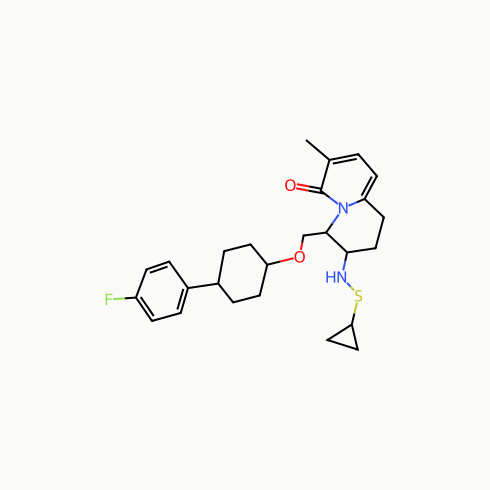 Cc1ccc2n(c1=O)C(COC1CCC(c3ccc(F)cc3)CC1)C(NSC1CC1)CC2